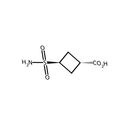 NS(=O)(=O)[C@H]1C[C@H](C(=O)O)C1